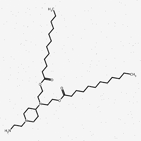 CCCCCCCCCCCC(=O)OCCN(CCOC(=O)CCCCCCCCCCC)C1CCN(CCN)CC1